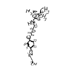 C#CCOc1ccc(OCCOCCNC(=O)OC(C)(C)C)cc1